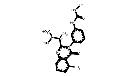 CCNC(=O)Nc1cccc(-n2c([C@H](C)N(C(=O)O)C(C)(C)C)nc3cccc(C)c3c2=O)c1